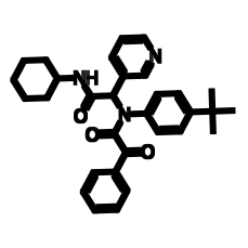 CC(C)(C)c1ccc(N(C(=O)C(=O)c2ccccc2)C(C(=O)NC2CCCCC2)c2cccnc2)cc1